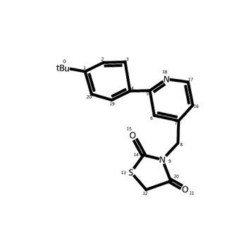 CC(C)(C)c1ccc(-c2cc(CN3C(=O)CSC3=O)ccn2)cc1